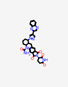 NC(=O)NC1CCCC(n2cc(-c3cnc4ccccc4n3)cn2)C1Cc1ccc2c(c1)C(=O)N(C1CCC(=O)NC1=O)C2=O